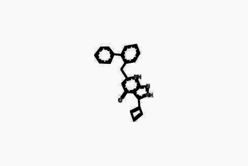 O=c1cc(Cc2ccccc2-c2ccccc2)[nH]c2n[nH]c(C3=CC=C3)c12